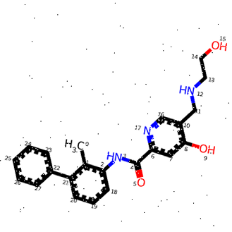 Cc1c(NC(=O)c2cc(O)c(CNCCO)cn2)cccc1-c1ccccc1